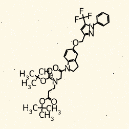 CC(C)(C)OC(=O)CCN(CC(=O)N1CCc2cc(OCc3cc(C(F)(F)F)n(-c4ccccc4)n3)ccc21)C(=O)OC(C)(C)C